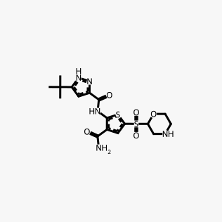 CC(C)(C)c1cc(C(=O)Nc2sc(S(=O)(=O)C3CNCCO3)cc2C(N)=O)n[nH]1